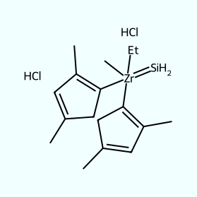 C[CH2][Zr]([CH3])(=[SiH2])([C]1=C(C)C=C(C)C1)[C]1=C(C)C=C(C)C1.Cl.Cl